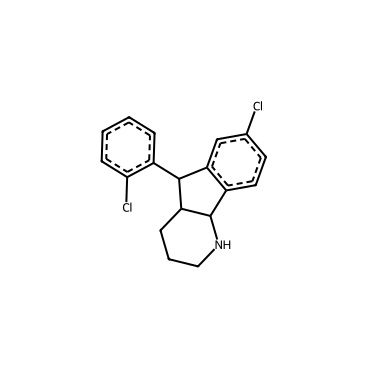 Clc1ccc2c(c1)C(c1ccccc1Cl)C1CCCNC21